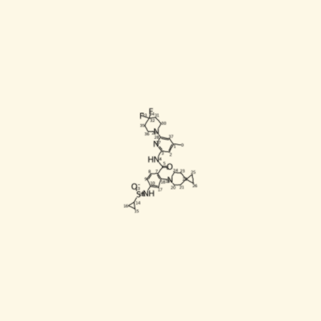 Cc1cc(NC(=O)c2ccc(N[S+]([O-])C3CC3)cc2N2CCC3(CC2)CC3)nc(N2CCC(F)(F)CC2)c1